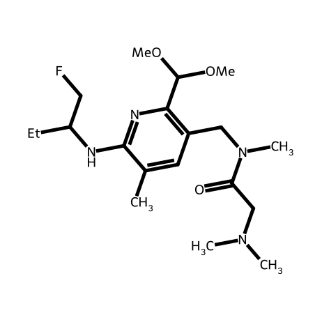 CCC(CF)Nc1nc(C(OC)OC)c(CN(C)C(=O)CN(C)C)cc1C